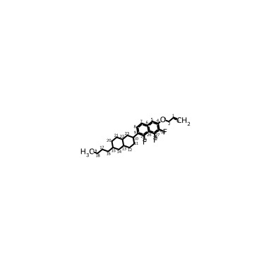 C=CCOc1cc2ccc(C3CCC4CC(CCCC)CCC4C3)c(F)c2c(F)c1F